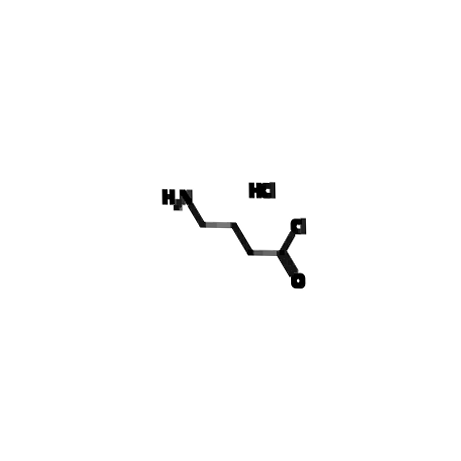 Cl.NCCCC(=O)Cl